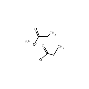 CCC(=O)[O-].CCC(=O)[O-].[S+2]